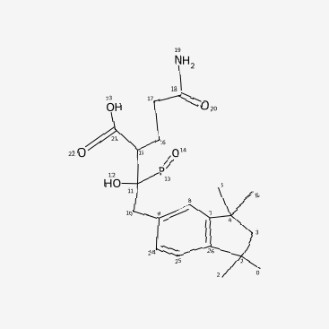 CC1(C)CC(C)(C)c2cc(CC(O)(P=O)C(CCC(N)=O)C(=O)O)ccc21